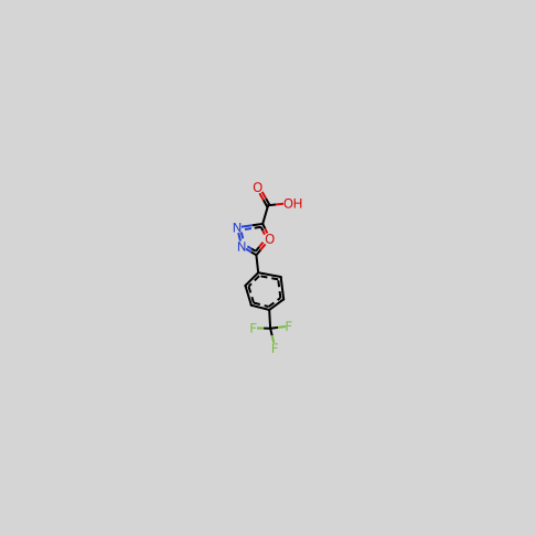 O=C(O)c1nnc(-c2ccc(C(F)(F)F)cc2)o1